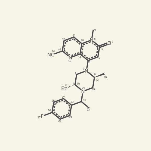 CC[C@@H]1CN(c2cc(=O)n(C)c3ccc(C#N)nc23)[C@@H](C)CN1C(C)c1ccc(F)cc1